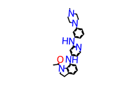 CC(=O)N1CCc2cccc(Nc3ccnc(Nc4cccc(N5CCN(C)CC5)c4)c3)c21